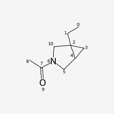 CCC12CC1CN(C(C)=O)C2